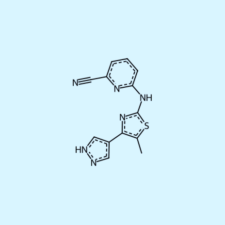 Cc1sc(Nc2cccc(C#N)n2)nc1-c1cn[nH]c1